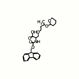 CC(CCOCC(NC(=O)OCC1c2ccccc2-c2ccccc21)C(=O)O)OC1CCCCO1